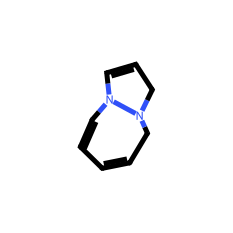 C1=CCN2CC=CN2C=C1